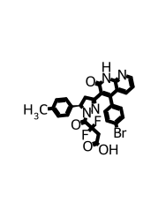 Cc1ccc([C@H]2CC(c3c(-c4ccc(Br)cc4)c4cccnc4[nH]c3=O)=NN2C(=O)C(F)(F)CC(=O)O)cc1